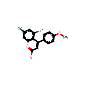 COc1ccc(/C(=C/C(=O)O)c2ccc(Cl)cc2Cl)cc1